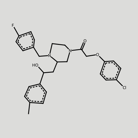 Cc1ccc(C(O)CC2CN(C(=O)COc3ccc(Cl)cc3)CCN2Cc2ccc(F)cc2)cc1